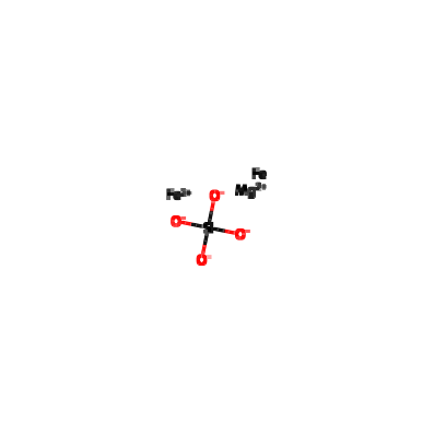 [Fe+2].[Fe].[Mg+2].[O-][Si]([O-])([O-])[O-]